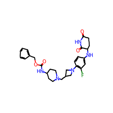 O=C1CCC(Nc2ccc(N3CC(CN4CCC(NC(=O)OCc5ccccc5)CC4)C3)c(F)c2)C(=O)N1